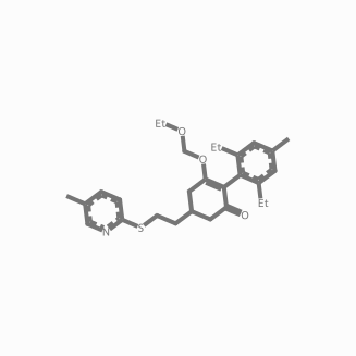 CCOCOC1=C(c2c(CC)cc(C)cc2CC)C(=O)CC(CCSc2ccc(C)cn2)C1